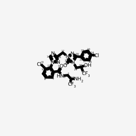 NC(CNC(=O)c1cccc(Cl)c1-n1cnc(Cn2nc(-c3ccc(Cl)cc3)n(CC(O)C(F)(F)F)c2=O)n1)C(F)(F)F